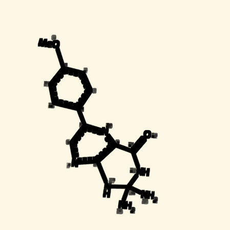 COc1ccc(-c2cnc3c(n2)C(=O)NC(N)(N)N3)cc1